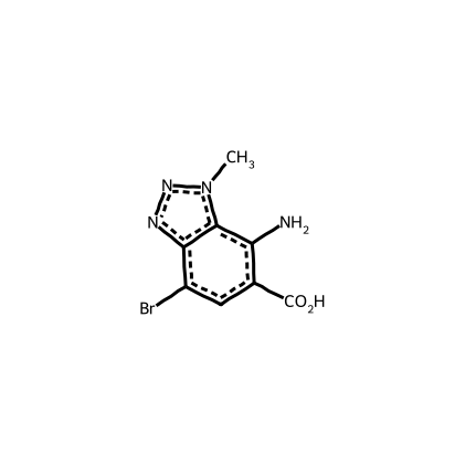 Cn1nnc2c(Br)cc(C(=O)O)c(N)c21